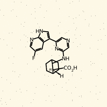 O=C(O)[C@@H]1C2CCC(CC2)C1Nc1cncc(-c2c[nH]c3ncc(F)cc23)n1